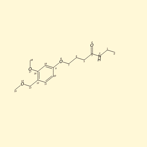 CCNC(=O)CCCOc1ccc(COC)c(OC)c1